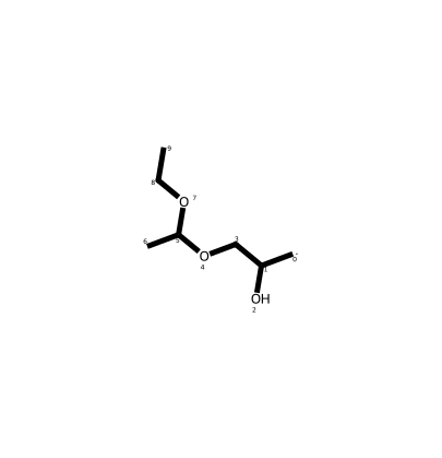 [CH2]C(O)COC(C)OCC